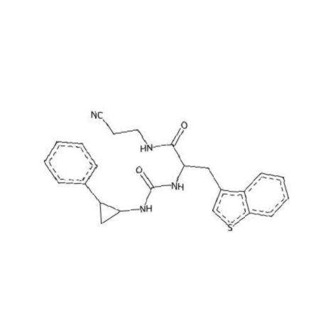 N#CCCNC(=O)C(Cc1csc2ccccc12)NC(=O)NC1CC1c1ccccc1